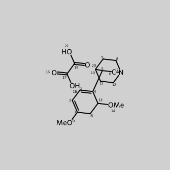 COC1=CC=C(C2CN3CCC2CC3)C(OC)C1.O=C(O)C(=O)O